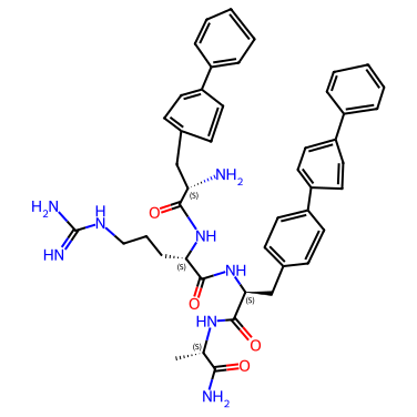 C[C@H](NC(=O)[C@H](Cc1ccc(-c2ccc(-c3ccccc3)cc2)cc1)NC(=O)[C@H](CCCNC(=N)N)NC(=O)[C@@H](N)Cc1ccc(-c2ccccc2)cc1)C(N)=O